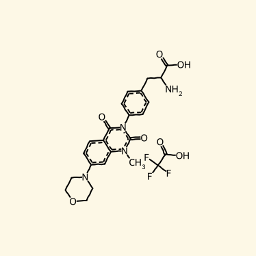 Cn1c(=O)n(-c2ccc(CC(N)C(=O)O)cc2)c(=O)c2ccc(N3CCOCC3)cc21.O=C(O)C(F)(F)F